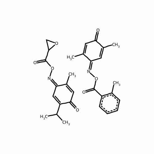 CC1=C/C(=N\OC(=O)c2ccccc2C)C(C)=CC1=O.CC1=CC(=O)C(C(C)C)=C/C1=N/OC(=O)C1CO1